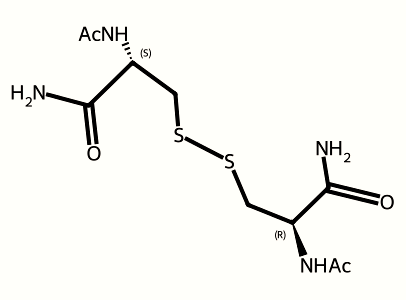 CC(=O)N[C@@H](CSSC[C@@H](NC(C)=O)C(N)=O)C(N)=O